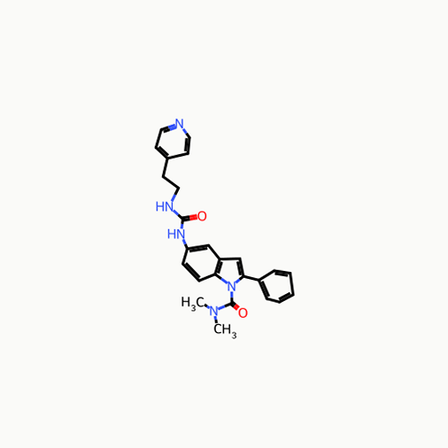 CN(C)C(=O)n1c(-c2ccccc2)cc2cc(NC(=O)NCCc3ccncc3)ccc21